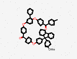 COc1ccc(C2(c3ccc(Oc4ccc(C(=O)c5ccc(Oc6ccc(Oc7ccc(C(=O)c8ccc(C)cc8)cc7)c(-c7ccccc7)c6)cc5)cc4)cc3)c3ccccc3-c3ccccc32)cc1